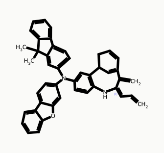 C=C/C=C1/Nc2ccc(N(c3ccc4c(c3)C(C)(C)c3ccccc3-4)c3ccc4c(c3)oc3ccccc34)cc2C2C=C(C=CC2)C1=C